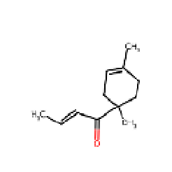 CC=CC(=O)C1(C)CC=C(C)CC1